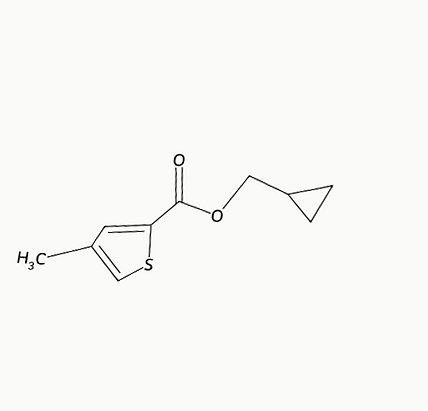 Cc1csc(C(=O)OCC2CC2)c1